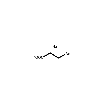 CC(=O)CCC(=O)[O-].[Na+]